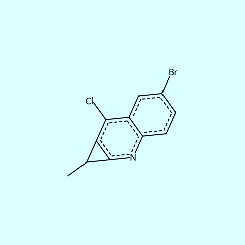 CC1c2nc3ccc(Br)cc3c(Cl)c21